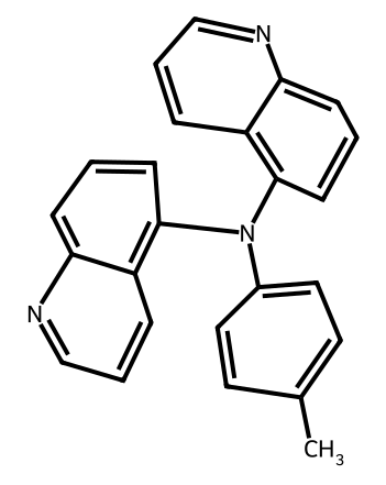 Cc1ccc(N(c2cccc3ncccc23)c2cccc3ncccc23)cc1